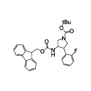 CC(C)(C)OC(=O)N1CC(NC(=O)OCC2c3ccccc3-c3ccccc32)C(c2ccccc2F)C1